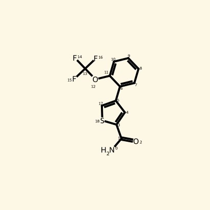 NC(=O)c1cc(-c2ccccc2OC(F)(F)F)cs1